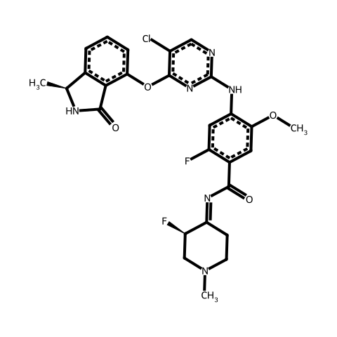 COc1cc(C(=O)/N=C2\CCN(C)C[C@H]2F)c(F)cc1Nc1ncc(Cl)c(Oc2cccc3c2C(=O)N[C@H]3C)n1